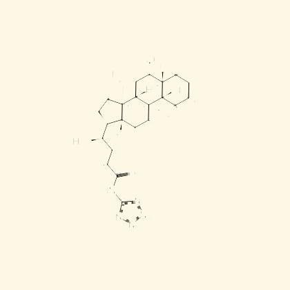 CC[C@H]1[C@@H](O)[C@@H]2[C@H](CC[C@]3(C)[C@@H]([C@H](C)CCC(=O)Nc4nnn[nH]4)CC[C@@H]23)[C@@]2(C)CC[C@@H](C)C[C@@H]12